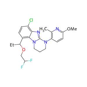 CCC(OCC(F)F)c1ccc(Cl)c2nc3n(c12)CCCN3c1ccc(OC)nc1C